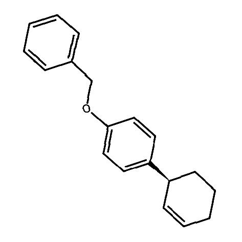 C1=C[C@@H](c2ccc(OCc3ccccc3)cc2)CCC1